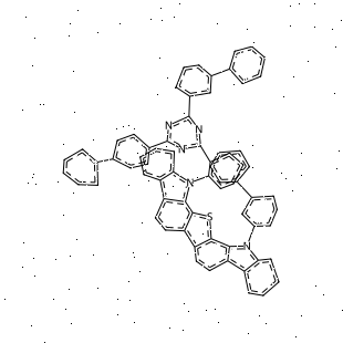 c1ccc(-c2ccc(-c3nc(-c4cccc(-c5ccccc5)c4)nc(-c4ccccc4-n4c5ccccc5c5ccc6c7ccc8c9ccccc9n(-c9cccc(-c%10ccccc%10)c9)c8c7sc6c54)n3)cc2)cc1